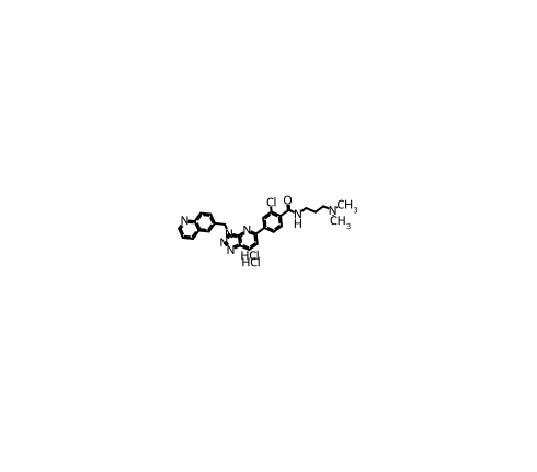 CN(C)CCCNC(=O)c1ccc(-c2ccc3nnn(Cc4ccc5ncccc5c4)c3n2)cc1Cl.Cl.Cl